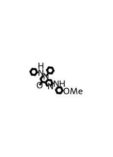 COc1cccc(Nc2cc3c(cn2)c(=O)cc(Nc2ccccc2)n3-c2ccccc2)c1